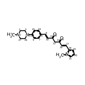 CN1CCN(c2ccc(C=CC(=O)CC(=O)C=Cc3cccn3C)cc2)CC1